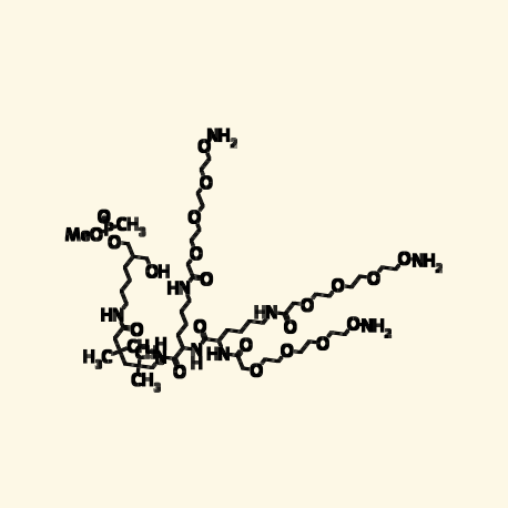 COP(C)(=O)OCC(CO)CCCCNC(=O)CC(C)(C)CC(C)(C)CNC(=O)C(CCCCNC(=O)COCCOCCOCCON)NC(=O)C(CCCCNC(=O)COCCOCCOCCON)NC(=O)COCCOCCOCCON